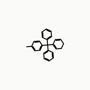 Cc1ccc(C(C2=CCCC=C2)(c2ccccc2)c2ccccc2)cc1